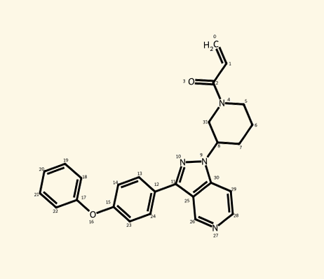 C=CC(=O)N1CCCC(n2nc(-c3ccc(Oc4ccccc4)cc3)c3cnccc32)C1